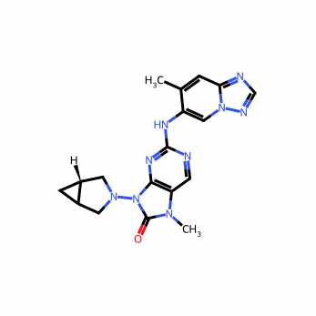 Cc1cc2ncnn2cc1Nc1ncc2c(n1)n(N1CC3C[C@@H]3C1)c(=O)n2C